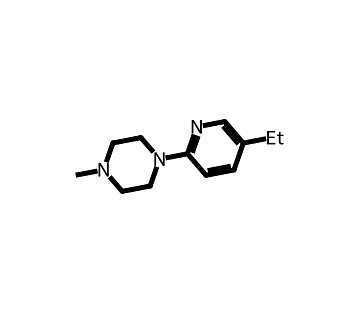 [CH2]Cc1ccc(N2CCN(C)CC2)nc1